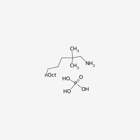 CCCCCCCCCCCC(C)(C)CN.O=P(O)(O)O